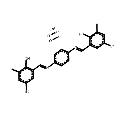 CC(=O)[O-].CC(=O)[O-].CCc1cc(C)c(O)c(C=Nc2ccc(N=Cc3cc(CC)cc(C)c3O)cc2)c1.[Co+2]